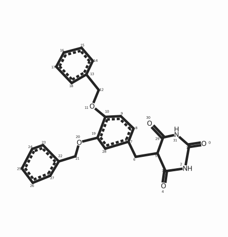 O=C1NC(=O)C(Cc2ccc(OCc3ccccc3)c(OCc3ccccc3)c2)C(=O)N1